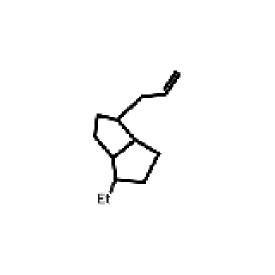 C=CCC1CCC2C(CC)CCC12